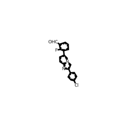 O=Cc1cccc(-c2ccc3nc(-c4ccc(Cl)cc4)cn3c2)c1F